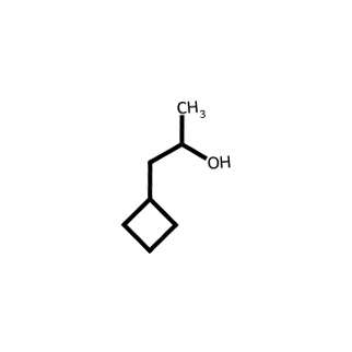 CC(O)CC1CCC1